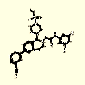 CCS(=O)(=O)N1CCC(C2c3ccc(-c4cccc(C#N)c4)cc3CCN2CC(=O)Nc2cc(Cl)cc(Cl)c2)CC1